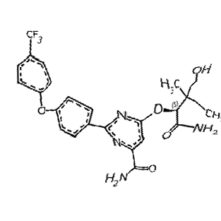 CC(C)(CO)[C@H](Oc1cc(C(N)=O)nc(-c2ccc(Oc3ccc(C(F)(F)F)cc3)cc2)n1)C(N)=O